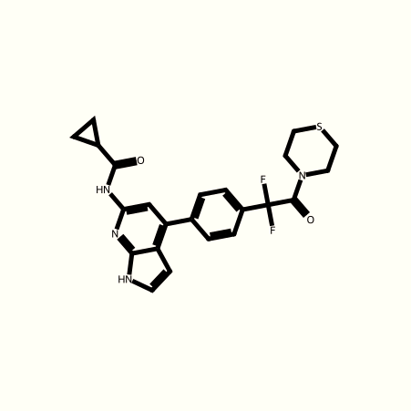 O=C(Nc1cc(-c2ccc(C(F)(F)C(=O)N3CCSCC3)cc2)c2cc[nH]c2n1)C1CC1